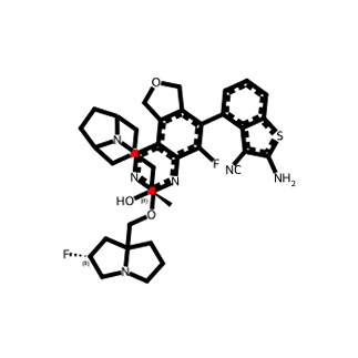 C[C@@H](O)CN1CC2CCC(C1)N2c1nc(OCC23CCCN2C[C@H](F)C3)nc2c(F)c(-c3cccc4sc(N)c(C#N)c34)c3c(c12)COC3